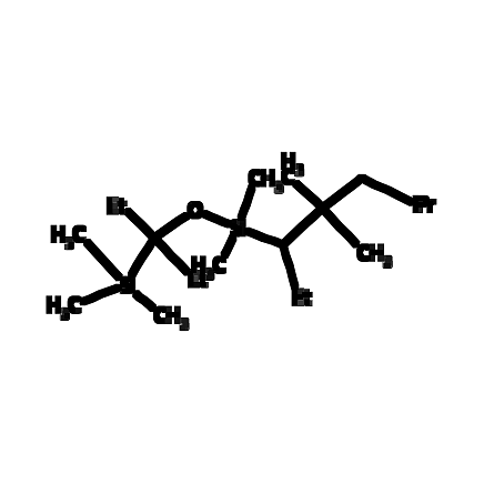 CCC(C(C)(C)CC(C)C)[Si](C)(C)OC(CC)(CC)[Si](C)(C)C